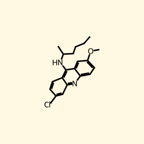 CCCCC(C)Nc1c2ccc(Cl)cc2nc2ccc(OC)cc12